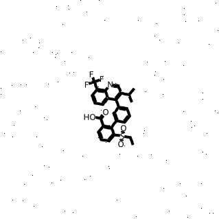 CCS(=O)(=O)c1cccc(C(=O)O)c1-c1cccc(-c2c(C(C)C)cnc3c(C(F)(F)F)cccc23)c1